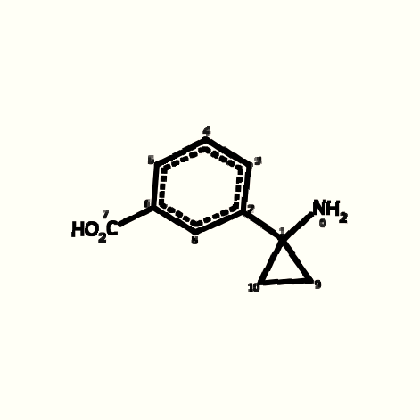 NC1(c2cccc(C(=O)O)c2)CC1